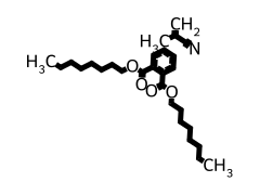 C=C(C)C#N.CCCCCCCCOC(=O)c1ccccc1C(=O)OCCCCCCCC